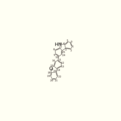 c1ccc2c(c1)[nH]c1ccc(-c3ccc4c(c3)oc3ccccc34)cc12